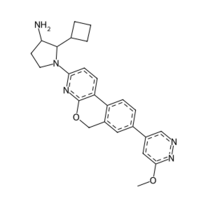 COc1cc(-c2ccc3c(c2)COc2nc(N4CCC(N)C4C4CCC4)ccc2-3)cnn1